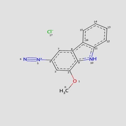 COc1cc([N+]#N)cc2c1[nH]c1ccccc12.[Cl-]